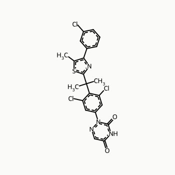 Cc1sc(C(C)(C)c2c(Cl)cc(-n3ncc(=O)[nH]c3=O)cc2Cl)nc1-c1cccc(Cl)c1